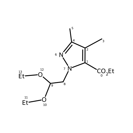 CCOC(=O)c1c(C)c(C)nn1CC(OCC)OCC